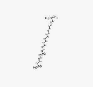 CC(C)CCCCCCCCCCCCCCCOC(=O)CCSCCC(=O)O